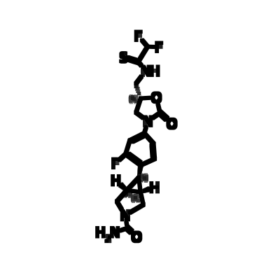 NC(=O)N1C[C@@H]2[C@H](C1)[C@H]2c1ccc(N2C[C@H](CNC(=S)C(F)F)OC2=O)cc1F